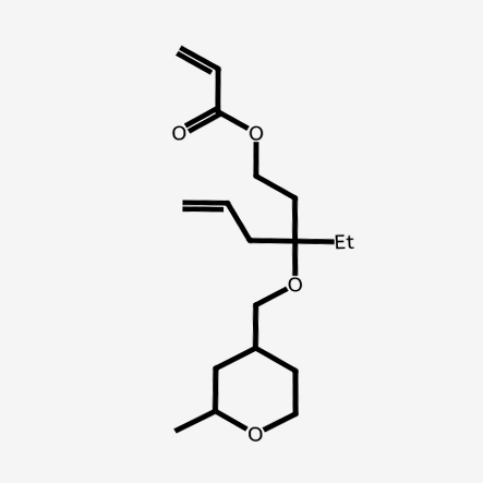 C=CCC(CC)(CCOC(=O)C=C)OCC1CCOC(C)C1